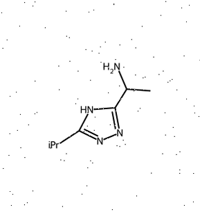 CC(C)c1nnc(C(C)N)[nH]1